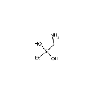 CC[Si](O)(O)CN